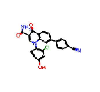 N#Cc1ccc(-c2ccc3c(=O)c(C(N)=O)cn(-c4ccc(O)cc4Cl)c3c2)cc1